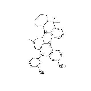 Cc1cc2c3c(c1)N1c4c(cccc4C(C)(C)C4CCCCC41)B3c1ccc(C(C)(C)C)cc1N2c1cccc(C(C)(C)C)c1